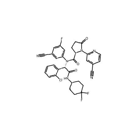 N#Cc1cc(F)cc(N(C(=O)C2CCC(=O)N2c2cc(C#N)ccn2)[C@H](C(=O)NC2CCC(F)(F)CC2)c2ccccc2Cl)c1